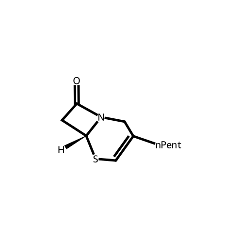 CCCCCC1=CS[C@@H]2CC(=O)N2C1